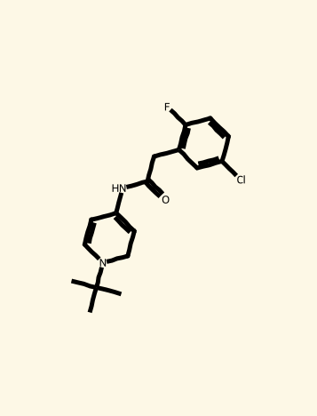 CC(C)(C)N1C=CC(NC(=O)Cc2cc(Cl)ccc2F)=CC1